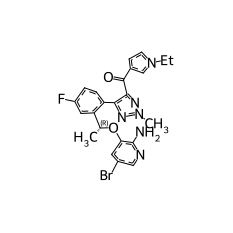 CCn1ccc(C(=O)c2nn(C)nc2-c2ccc(F)cc2[C@@H](C)Oc2cc(Br)cnc2N)c1